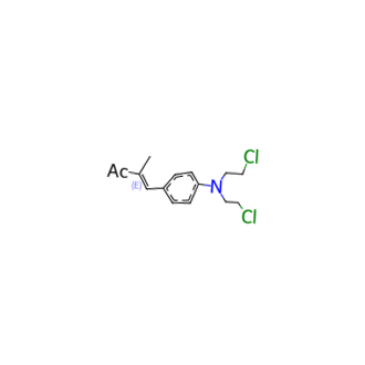 CC(=O)/C(C)=C/c1ccc(N(CCCl)CCCl)cc1